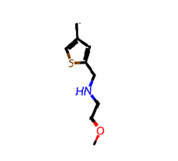 [CH2]c1csc(CNCCOC)c1